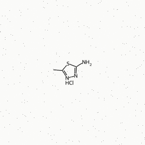 Cc1nnc(N)s1.Cl